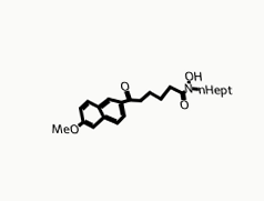 CCCCCCCN(O)C(=O)CCCCC(=O)c1ccc2cc(OC)ccc2c1